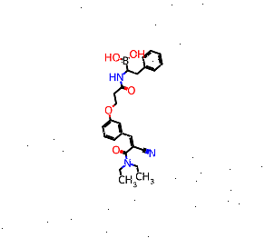 CCN(CC)C(=O)C(C#N)=Cc1cccc(OCCC(=O)NC(Cc2ccccc2)B(O)O)c1